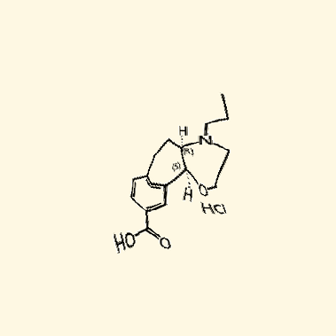 CCCN1CCO[C@H]2c3cc(C(=O)O)ccc3CC[C@H]21.Cl